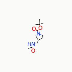 CC(=O)NCC1CCN(C(=O)OC(C)(C)C)C1